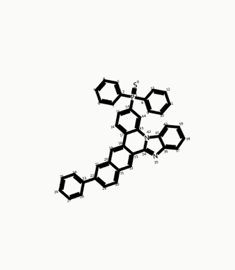 S=P(c1ccccc1)(c1ccccc1)c1ccc2c3cc4cc(-c5ccccc5)ccc4cc3c3nc4ccccc4n3c2c1